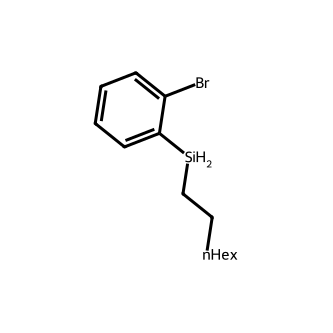 CCCCCCCC[SiH2]c1ccccc1Br